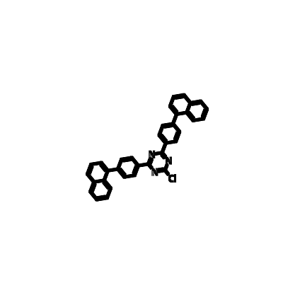 Clc1nc(-c2ccc(-c3cccc4ccccc34)cc2)nc(-c2ccc(-c3cccc4ccccc34)cc2)n1